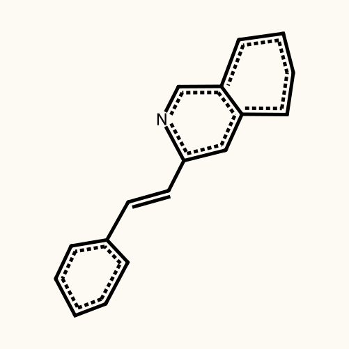 C(=Cc1cc2ccccc2cn1)c1ccccc1